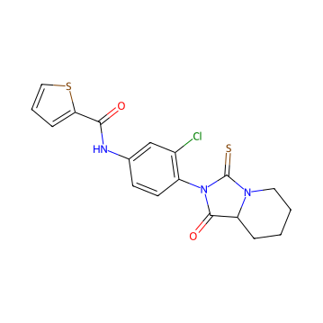 O=C(Nc1ccc(N2C(=O)C3CCCCN3C2=S)c(Cl)c1)c1cccs1